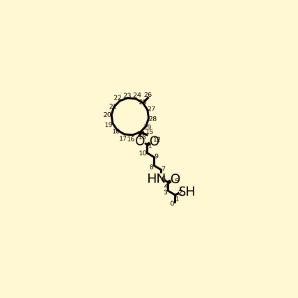 CC(S)CC(=O)NCCCCC(=O)OC1(C)CCCCCCCCCC(C)CCC1